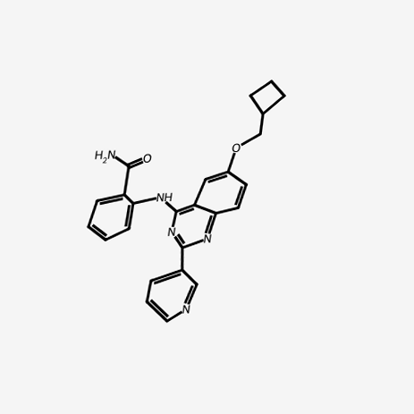 NC(=O)c1ccccc1Nc1nc(-c2cccnc2)nc2ccc(OCC3CCC3)cc12